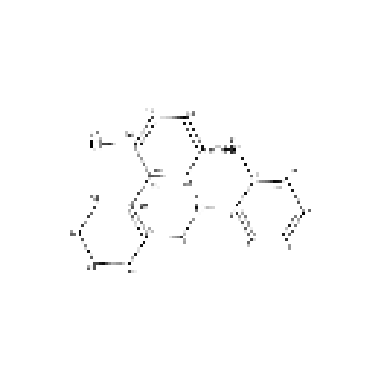 O=Cc1ncccc1OCC1=C(c2ccccc2Cl)CCCC1